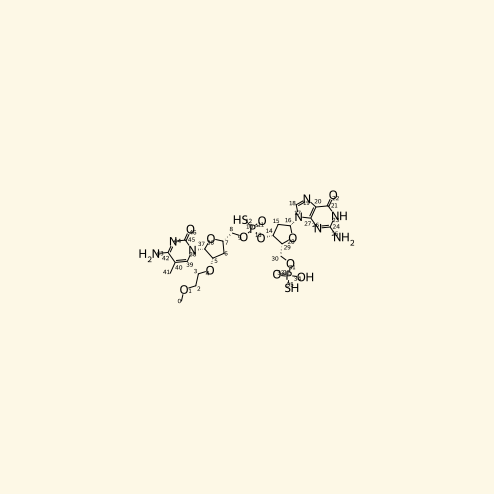 COCCO[C@H]1C[C@@H](COP(=O)(S)O[C@@H]2C[C@H](n3cnc4c(=O)[nH]c(N)nc43)O[C@@H]2COP(=O)(O)S)O[C@H]1n1cc(C)c(N)nc1=O